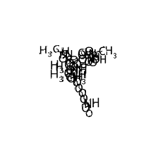 C/C=C/C1=CN2C(=O)c3cc(OC)c(OCCCOc4cc5c(cc4OC)C(=O)N4C=C(/C=C/C)C[C@H]4[C@H](O)N5C(=O)OCc4ccc(NC(=O)[C@H](C)NC(=O)[C@@H](NC(=O)CCOCCOCCOCCOCCNC(=O)CC5=C/C=C\C=C/C=C\5)C(C)C)cc4)cc3N=C[C@@H]2C1